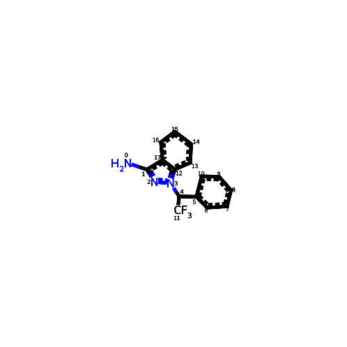 Nc1nn(C(c2ccccc2)C(F)(F)F)c2ccccc12